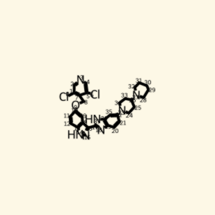 Clc1cncc(Cl)c1COc1ccc2[nH]nc(-c3nc4ccc(N5CCC(N6CCCCC6)CC5)cc4[nH]3)c2c1